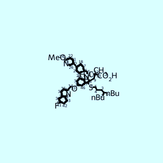 CCCCC(CCCC)CCCSc1c(CC(C)(C)C(=O)O)n(Cc2ccc(-c3ccc(OC)nc3)cc2)c2ccc(OCc3ccc4cc(F)ccc4n3)cc12